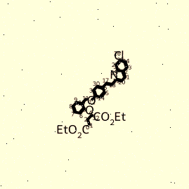 CCOC(=O)CCC(Oc1ccccc1COc1ccc(C=Cc2ccc3ccc(Cl)cc3n2)cc1)C(=O)OCC